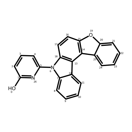 Oc1cccc(-n2c3ccccc3c3c4c(ccc32)oc2ccccc24)n1